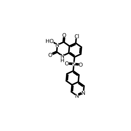 O=c1[nH]c2c(S(=O)(=O)c3ccc4cnncc4c3)ccc(Cl)c2c(=O)n1O